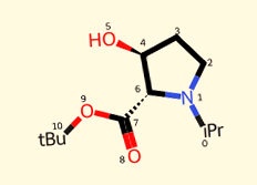 CC(C)N1CC[C@H](O)[C@H]1C(=O)OC(C)(C)C